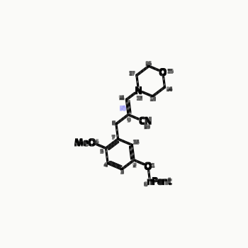 CCCCCOc1ccc(OC)c(C/C(C#N)=C/N2CCOCC2)c1